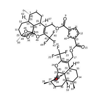 C[C@@H]1CC[C@H]2C(COC(=O)c3ccc(C(=O)OCC4=C(C(F)(F)F)O[C@@H]5O[C@]6(C)CC[C@H]7[C@H](C)CC[C@@H]4[C@@]57OO6)s3)=C(C(F)(F)F)O[C@@H]3O[C@]4(C)CC[C@@H]1[C@]32OO4